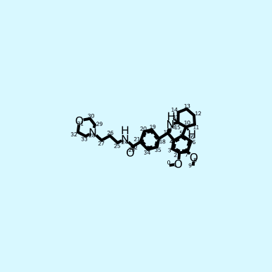 COc1cc2c(cc1OC)[C@H]1CCCC[C@H]1N=C2c1ccc(C(=O)NCCCN2CCOCC2)cc1